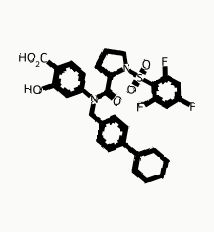 O=C(O)c1ccc(N(Cc2ccc(C3CCCCC3)cc2)C(=O)C2CCCN2S(=O)(=O)c2c(F)cc(F)cc2F)cc1O